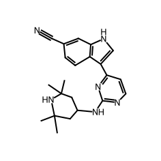 CC1(C)CC(Nc2nccc(-c3c[nH]c4cc(C#N)ccc34)n2)CC(C)(C)N1